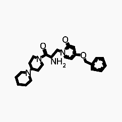 NC(Cn1ccc(OCc2ccccc2)cc1=O)C(=O)N1CCC(N2CCCCC2)CC1